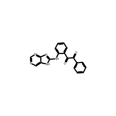 O=C(C(=O)c1ccccc1Nc1nc2ncncc2[nH]1)c1ccccc1